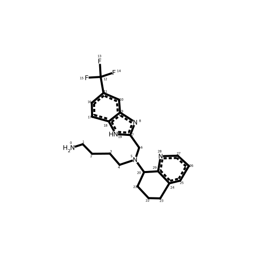 NCCCCN(Cc1nc2cc(C(F)(F)F)ccc2[nH]1)C1CCCc2cccnc21